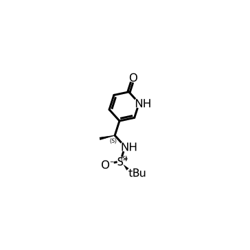 C[C@H](N[S@+]([O-])C(C)(C)C)c1ccc(=O)[nH]c1